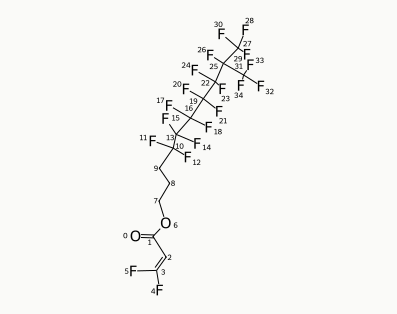 O=C(C=C(F)F)OCCCC(F)(F)C(F)(F)C(F)(F)C(F)(F)C(F)(F)C(F)(C(F)(F)F)C(F)(F)F